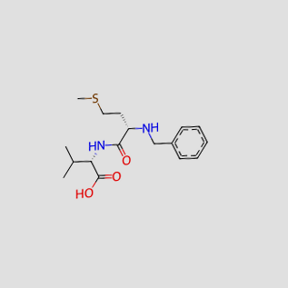 CSCC[C@H](NCc1ccccc1)C(=O)N[C@H](C(=O)O)C(C)C